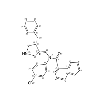 O=C(c1cccc2ccccc12)N(C[C@H]1CNC[C@@H]1Cc1ccccc1)c1ccc(Cl)cc1